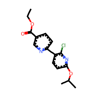 CCOC(=O)c1ccc(-c2ccc(OC(C)C)nc2Cl)nc1